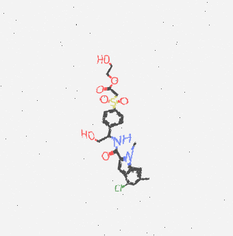 Cc1cc(Cl)c2cc(C(=O)NC(CO)c3ccc(S(=O)(=O)CC(=O)OCCO)cc3)n(C)c2c1